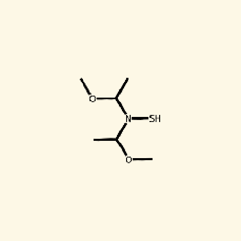 COC(C)N(S)C(C)OC